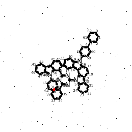 c1ccc(-c2ccc(-n3c4ccccc4c4c3ccc3c5ccccc5n(-c5nc(-c6ccccc6)nc(-c6cccc7c8ccccc8n(-c8ccccc8)c67)n5)c34)cc2)cc1